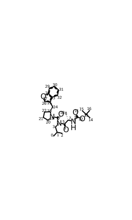 CC(C)CN(C(=O)[C@H](C)NC(=O)OC(C)(C)C)C(=O)N1CCC[C@H]1Cc1coc2ccccc12